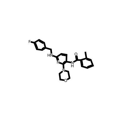 Cc1ccccc1C(=O)Nc1ccc(NCc2ccc(F)cc2)nc1N1CCOCC1